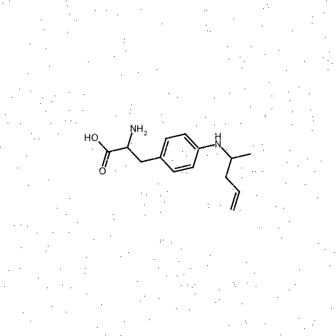 C=CCC(C)Nc1ccc(CC(N)C(=O)O)cc1